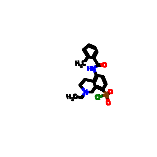 CCN1CCc2c(NC(=O)c3ccccc3C)ccc(S(=O)(=O)Cl)c2C1